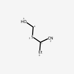 CCC(C#N)SCO